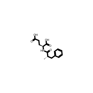 C[C@@H](Cc1ccccc1)C(=O)N[C@@H](CCC(=O)O)C(=O)O